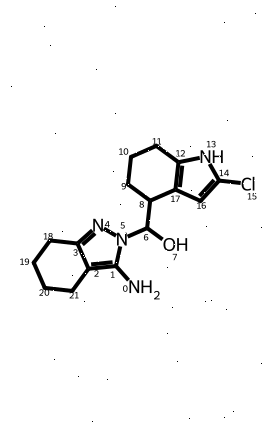 Nc1c2c(nn1C(O)C1CCCc3[nH]c(Cl)cc31)CCCC2